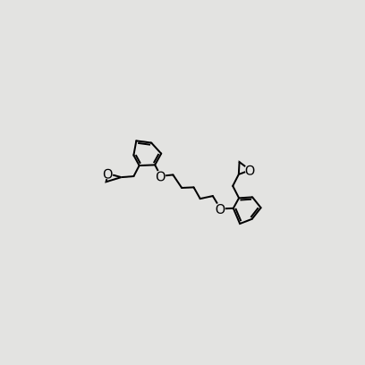 c1ccc(OCCCCCOc2ccccc2CC2CO2)c(CC2CO2)c1